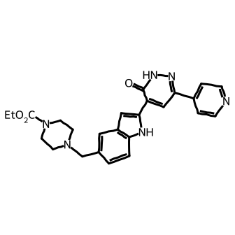 CCOC(=O)N1CCN(Cc2ccc3[nH]c(-c4cc(-c5ccncc5)n[nH]c4=O)cc3c2)CC1